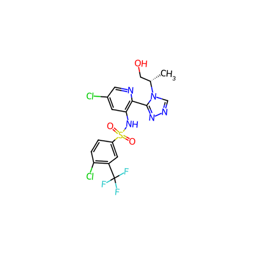 C[C@@H](CO)n1cnnc1-c1ncc(Cl)cc1NS(=O)(=O)c1ccc(Cl)c(C(F)(F)F)c1